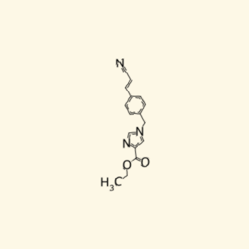 CCOC(=O)c1cn(Cc2ccc(/C=C/C#N)cc2)cn1